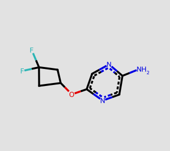 Nc1cnc(OC2CC(F)(F)C2)cn1